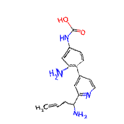 C=CCC(N)c1cc(-c2ccc(NC(=O)O)cc2N)ccn1